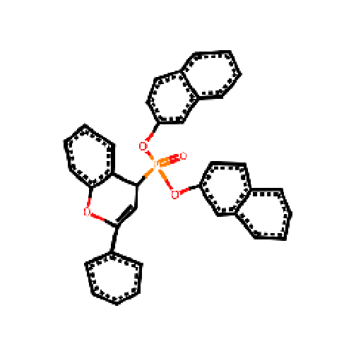 O=P(Oc1ccc2ccccc2c1)(Oc1ccc2ccccc2c1)C1C=C(c2ccccc2)Oc2ccccc21